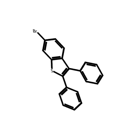 Brc1ccc2c(-c3ccccc3)c(-c3ccccc3)sc2c1